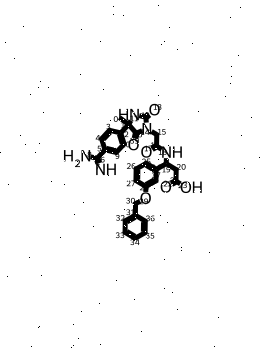 CC1(c2ccc(C(=N)N)cc2)NC(=O)N(CC(=O)NC(CC(=O)O)c2cccc(OCc3ccccc3)c2)C1=O